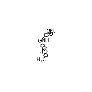 CCS(=O)(=O)c1ccc(CNC(=O)c2ccc3c(c2)cc(Cc2ccc(C)cc2)n3C2CC2)cc1